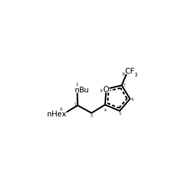 CCCCCCC(CCCC)Cc1ccc(C(F)(F)F)o1